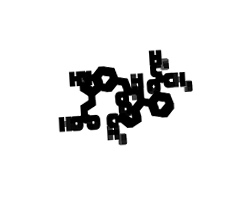 Cc1ccc(C(NC(=O)Cc2ccc3[nH]cc(CCC(=O)O)c3c2)c2ccccc2OC(C)C)o1